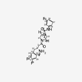 N[C@@H](CC(=O)N1C[C@@H]2C[C@H]1CN2C(=O)Nc1cccc(F)c1)Cc1cc(F)c(F)cc1F